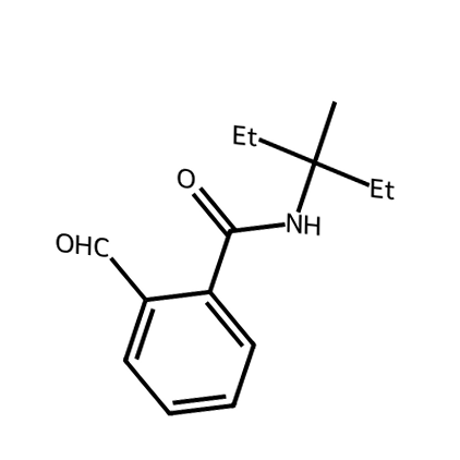 CCC(C)(CC)NC(=O)c1ccccc1C=O